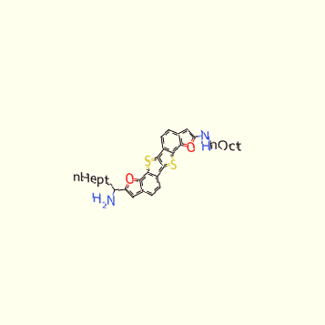 CCCCCCCCNc1cc2ccc3c(sc4c5ccc6cc(C(N)CCCCCCC)oc6c5sc34)c2o1